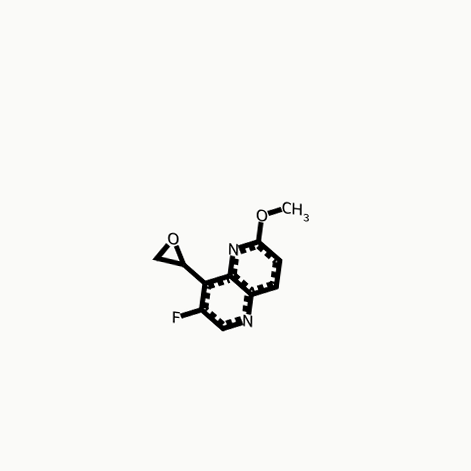 COc1ccc2ncc(F)c(C3CO3)c2n1